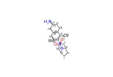 CC(C)(C)OC(=O)N1C2CCC1CN(c1ccc3c(c1C#N)CC[C@H](N)C3)C2